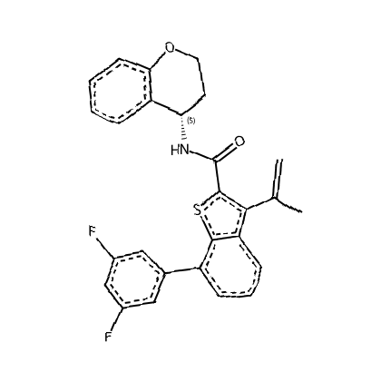 C=C(C)c1c(C(=O)N[C@H]2CCOc3ccccc32)sc2c(-c3cc(F)cc(F)c3)cccc12